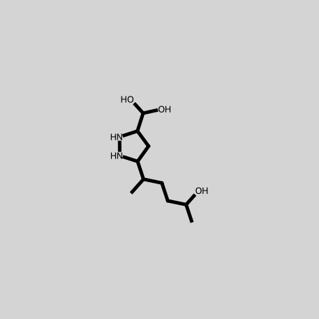 CC(O)CCC(C)C1CC(C(O)O)NN1